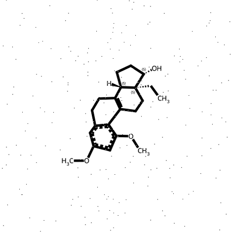 CC[C@]12CCC3=C(CCc4cc(OC)cc(OC)c43)[C@@H]1CC[C@@H]2O